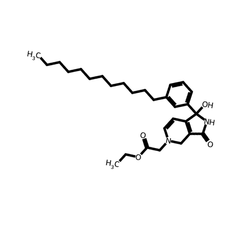 CCCCCCCCCCCCc1cccc(C2(O)NC(=O)C3=C2C=CN(CC(=O)OCC)C3)c1